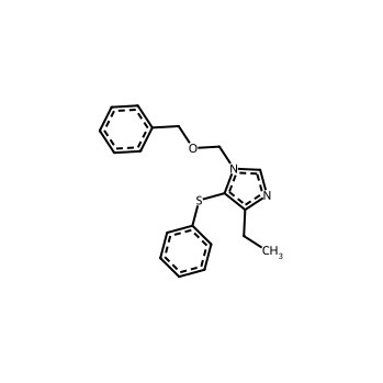 CCc1ncn(COCc2ccccc2)c1Sc1ccccc1